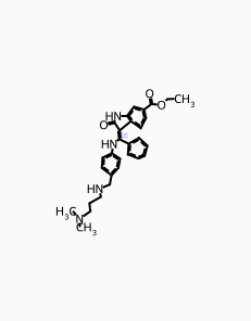 CCOC(=O)c1ccc2c(c1)NC(=O)/C2=C(\Nc1ccc(CNCCCN(C)C)cc1)c1ccccc1